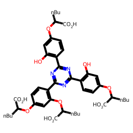 CCCCC(Oc1ccc(-c2nc(-c3ccc(OC(CCCC)C(=O)O)cc3O)nc(-c3ccc(OC(CCCC)C(=O)O)cc3OC(CCCC)C(=O)O)n2)c(O)c1)C(=O)O